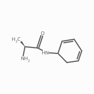 C[C@H](N)C(=O)NC1C=CC=CC1